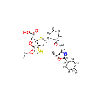 CCOC(=O)C(C)(S)C(CC(=O)O)SC[C@@H]1CCCC[C@@H]1OCc1nc(-c2ccc(C)cc2)oc1C